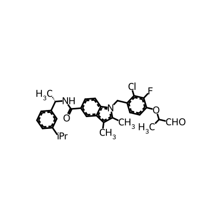 Cc1c(C)n(Cc2ccc(OC(C)C=O)c(F)c2Cl)c2ccc(C(=O)N[C@@H](C)c3cccc(C(C)C)c3)cc12